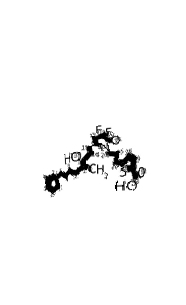 CC(CCCCc1ccccc1)C(O)CC[C@H]1CC(F)(F)C(=O)N1CCCc1ccc(C(=O)O)s1